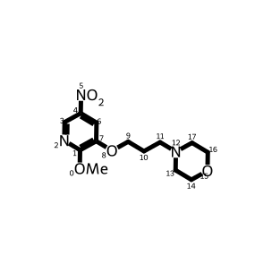 COc1ncc([N+](=O)[O-])cc1OCCCN1CCOCC1